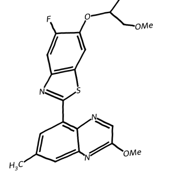 COCC(C)Oc1cc2sc(-c3cc(C)cc4nc(OC)cnc34)nc2cc1F